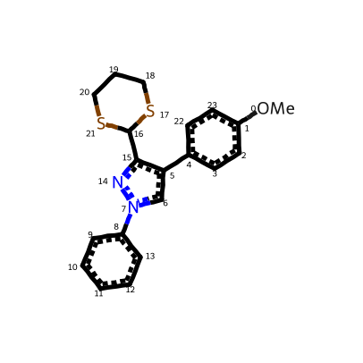 COc1ccc(-c2cn(-c3ccccc3)nc2C2SCCCS2)cc1